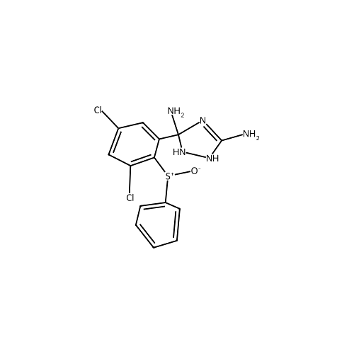 NC1=NC(N)(c2cc(Cl)cc(Cl)c2[S+]([O-])c2ccccc2)NN1